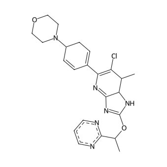 CC(OC1=NC2=NC(C3=CCC(N4CCOCC4)C=C3)=C(Cl)C(C)C2N1)c1ncccn1